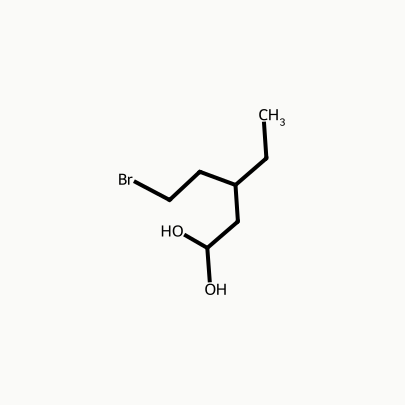 CCC(CCBr)CC(O)O